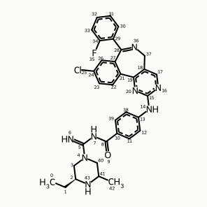 CC[C@H]1CN(C(=N)NC(=O)c2ccc(Nc3ncc4c(n3)-c3ccc(Cl)cc3C(c3ccccc3F)=NC4)cc2)CC(C)N1